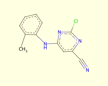 Cc1ccccc1Nc1cc(C#N)nc(Cl)n1